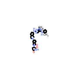 Cc1cccc(C)c1Nc1nn(C)c2nc(Nc3ccc4c(c3)CN(c3ccc5c(c3)CN(C3CCC(=O)NC3=O)C5=O)CC4)ncc12